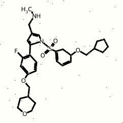 CNCc1cc(-c2ccc(OCC3CCOCC3)cc2F)n(S(=O)(=O)C2=CC=CC(OCC3CCCC3)C2)c1